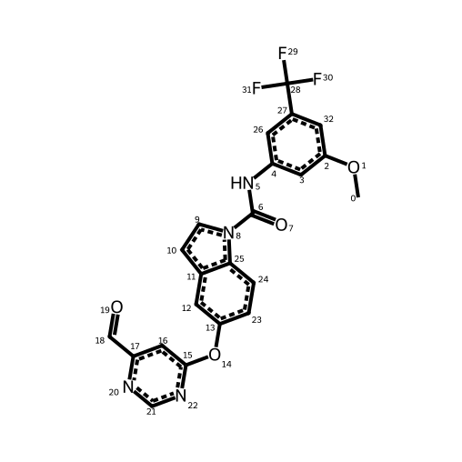 COc1cc(NC(=O)n2ccc3cc(Oc4cc(C=O)ncn4)ccc32)cc(C(F)(F)F)c1